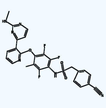 CNc1nccc(-c2cccnc2Oc2c(C)c(F)c(NS(=O)(=O)Cc3ccc(C#N)cc3)c(F)c2F)n1